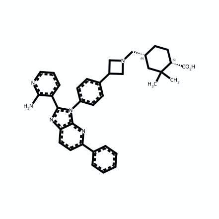 CC1(C)C[C@H](CN2CC(c3ccc(-n4c(-c5cccnc5N)nc5ccc(-c6ccccc6)nc54)cc3)C2)CC[C@@H]1C(=O)O